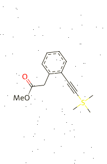 COC(=O)Cc1ccccc1C#CS(C)(C)C